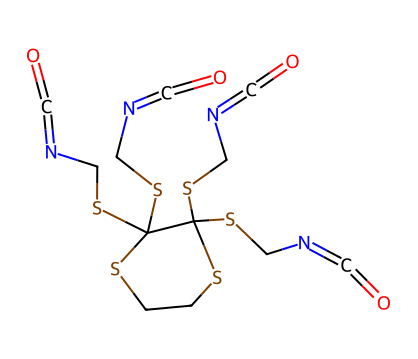 O=C=NCSC1(SCN=C=O)SCCSC1(SCN=C=O)SCN=C=O